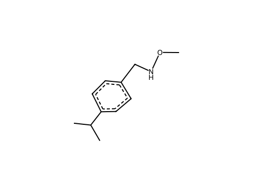 CONCc1ccc(C(C)C)cc1